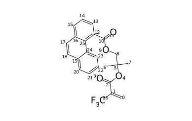 C=C(C(=O)OC(C)(C)COC(=O)c1cccc2ccc3ccccc3c12)C(F)(F)F